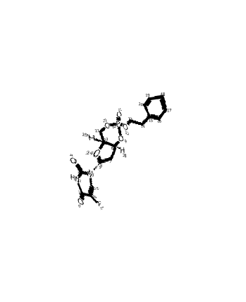 O=c1[nH]c(=O)n([C@H]2C[C@@H]3OP(=O)(OCCc4ccccc4)OC[C@H]3O2)cc1F